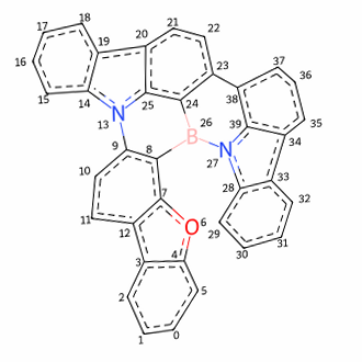 c1ccc2c(c1)oc1c3c(ccc12)-n1c2ccccc2c2ccc4c(c21)B3n1c2ccccc2c2cccc-4c21